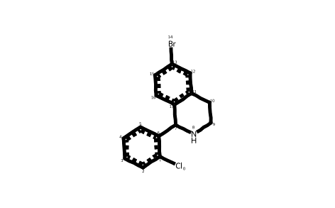 Clc1ccccc1C1NCCc2cc(Br)ccc21